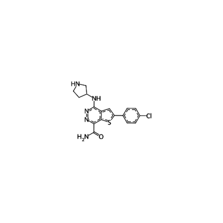 NC(=O)c1nnc(NC2CCNC2)c2cc(-c3ccc(Cl)cc3)sc12